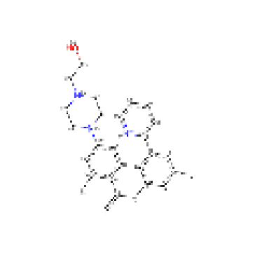 C=C(Cc1cc(C)cc(-c2ccccn2)c1)c1ccc(N2CCN(CCO)CC2)cc1C